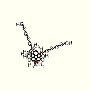 COc1c(O)c2c(=O)cc(OC)c3c4c(OC)cc(=O)c5c(O)c(NCCOCCOCCOCCOCCO)c6c(c(c1C(/C(C)=N/CCOCCOCCOCCOCCO)C(C)=C6)c23)c54